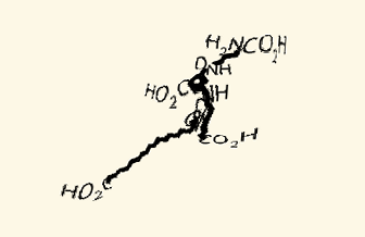 N[C@@H](CCCCNC(=O)c1cc(NC(=O)CN(CCC(=O)O)C(=O)CCCCCCCCCCCCCCCCC(=O)O)cc(C(=O)O)c1)C(=O)O